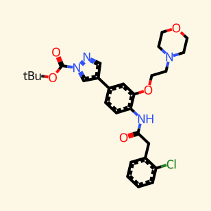 CC(C)(C)OC(=O)n1cc(-c2ccc(NC(=O)Cc3ccccc3Cl)c(OCCN3CCOCC3)c2)cn1